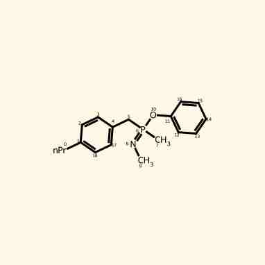 CCCc1ccc(CP(C)(=NC)Oc2ccccc2)cc1